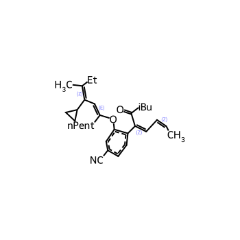 C/C=C\C=C(/C(=O)C(C)CC)c1ccc(C#N)cc1O/C(=C/C(=C(/C)CC)C1CC1)CCCCC